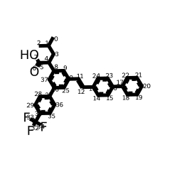 CC(C)CC(C(=O)O)c1cc(C=Cc2ccc(-c3ccccc3)cc2)cc(-c2ccc(C(F)(F)F)cc2)c1